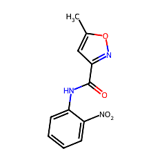 Cc1cc(C(=O)Nc2ccccc2[N+](=O)[O-])no1